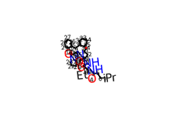 CC[C@H](NC(=O)CCC(C)C)C(=O)N[C@H]1CC(C)N([C@H](C(=O)N2CCCC2)C(c2ccccc2)c2ccccc2)C1=O